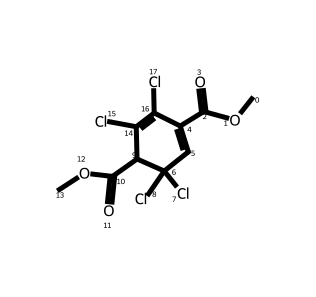 COC(=O)C1=CC(Cl)(Cl)C(C(=O)OC)C(Cl)=C1Cl